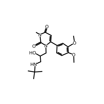 COc1ccc(-c2cc(=O)n(C)c(=O)n2CC(O)CNC(C)(C)C)cc1OC